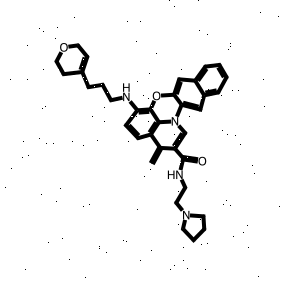 C=c1c(C(=O)NCCN2CCCC2)cn2c3cc4ccccc4cc3oc3c(NCCCC4=CCOCC4)ccc1c3-2